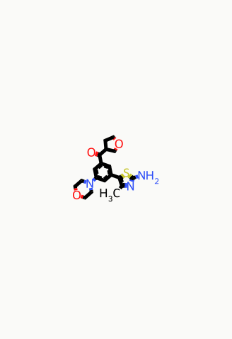 Cc1nc(N)sc1-c1cc(C(=O)C2CCOC2)cc(N2CCOCC2)c1